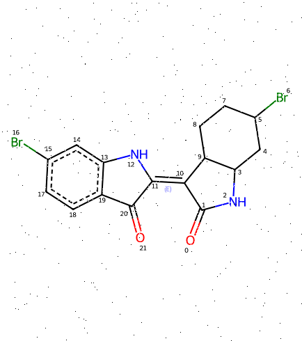 O=C1NC2CC(Br)CCC2/C1=C1\Nc2cc(Br)ccc2C1=O